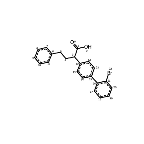 O=C(O)C(CCc1ccccc1)c1ccc(-c2ccccc2Br)cc1